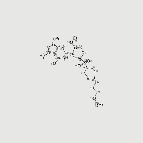 CCCc1cn(C)c2c(=O)[nH]c(-c3cc(S(=O)(=O)N4CCC(CCCO[N+](=O)[O-])CC4)ccc3OCC)nc12